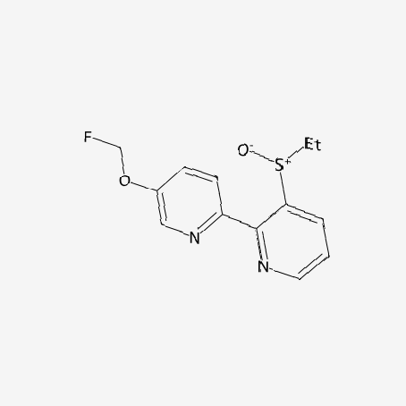 CC[S+]([O-])c1cccnc1-c1ccc(OCF)cn1